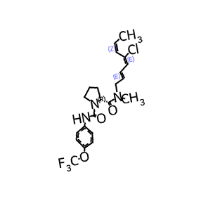 C\C=C/C(Cl)=C\C=C\CN(C)C(=O)[C@H]1CCCN1C(=O)Nc1ccc(OC(F)(F)F)cc1